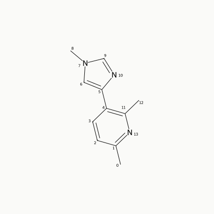 Cc1ccc(-c2cn(C)cn2)c(C)n1